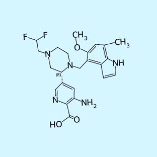 COc1cc(C)c2[nH]ccc2c1CN1CCN(CC(F)F)C[C@H]1c1cnc(C(=O)O)c(N)c1